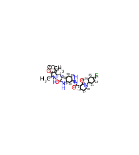 Cc1[nH]c(/C=C2\C(=O)Nc3cc(NC(=O)c4cccn(-c5ccc(F)cc5)c4=O)ccc32)c(C)c1OC(=O)O